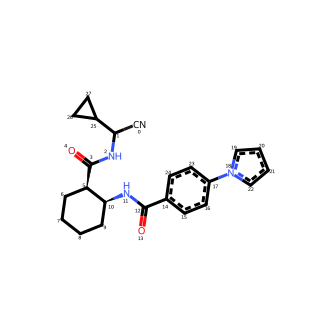 N#CC(NC(=O)[C@@H]1CCCC[C@@H]1NC(=O)c1ccc(-n2cccc2)cc1)C1CC1